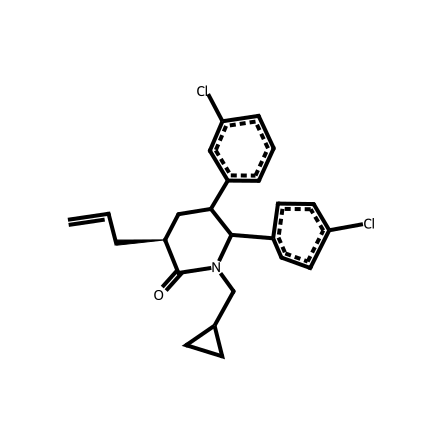 C=CC[C@H]1CC(c2cccc(Cl)c2)C(c2ccc(Cl)cc2)N(CC2CC2)C1=O